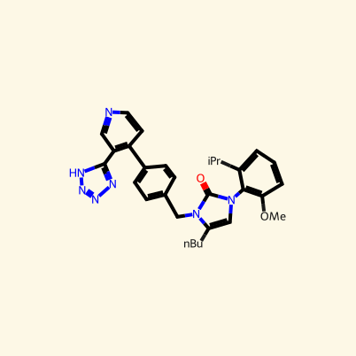 CCCCc1cn(-c2c(OC)cccc2C(C)C)c(=O)n1Cc1ccc(-c2ccncc2-c2nnn[nH]2)cc1